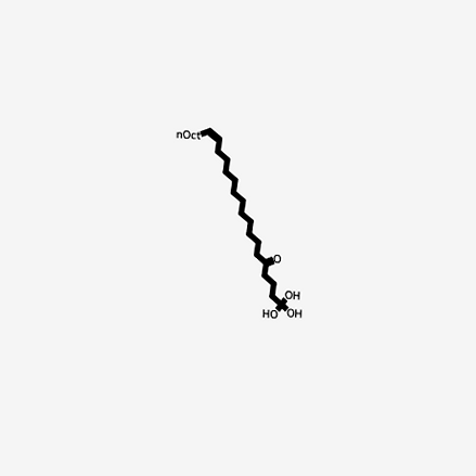 CCCCCCCC/C=C\CCCCCCCCCCCC(=O)CCCC(O)(O)O